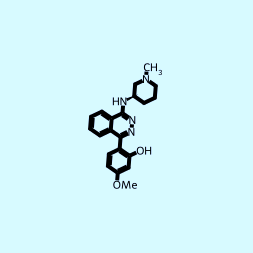 COc1ccc(-c2nnc(N[C@@H]3CCCN(C)C3)c3ccccc23)c(O)c1